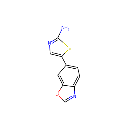 Nc1ncc(-c2ccc3ncoc3c2)s1